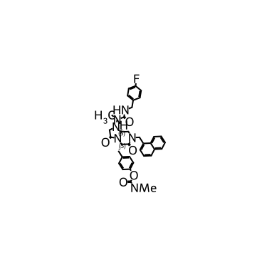 CNC(=O)Oc1ccc(C[C@H]2C(=O)N(Cc3cccc4ccccc34)C[C@H]3N2C(=O)CN3N(C)C(=O)NCc2ccc(F)cc2)cc1